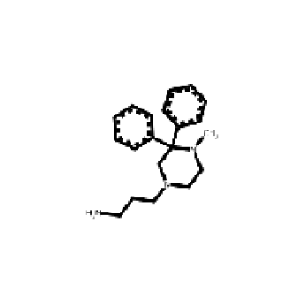 CN1CCN(CCCN)CC1(c1ccccc1)c1ccccc1